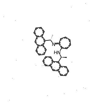 C[C@H](N=c1cccccc1N[C@@H](C)c1c2ccccc2cc2ccccc12)c1c2ccccc2cc2ccccc12